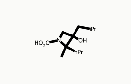 CCCC1(C)N(C(=O)O)CC1(O)CC(C)C